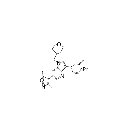 C=CCC(/C=C\CCC)c1cn(CC2CCOCC2)c2cc(-c3c(C)noc3C)cnc12